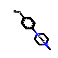 COc1ccc([N+]23CC[N+](C)(CC2)CC3)cc1